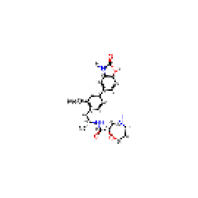 COc1cc(-c2ccc3oc(=O)n(C)c3c2)ccc1C[C@@H](C#N)NC(=O)[C@@H]1CNCCCO1